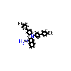 CCc1ccc(-c2ccc(N(c3ccc(-c4ccc(CC)cc4)cc3)c3cc(N)c4ccccc4c3)cc2)cc1